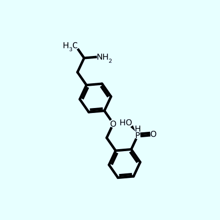 CC(N)Cc1ccc(OCc2ccccc2[P@H](=O)O)cc1